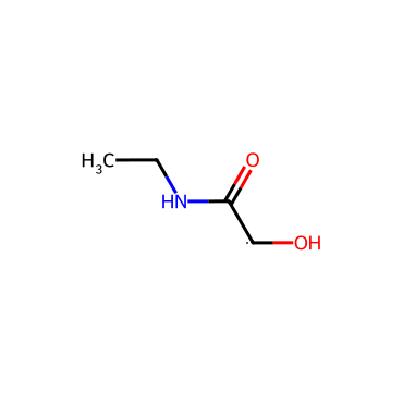 CCNC(=O)[CH]O